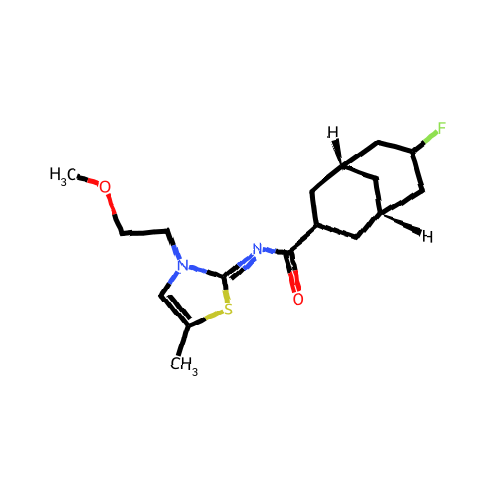 COCCn1cc(C)sc1=NC(=O)C1C[C@H]2CC(F)C[C@@H](C1)C2